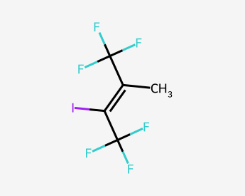 CC(=C(I)C(F)(F)F)C(F)(F)F